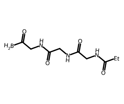 BC(=O)CNC(=O)CNC(=O)CNC(=O)CC